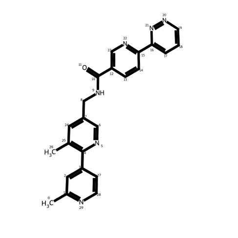 Cc1cc(-c2ncc(CNC(=O)c3ccc(-c4cccnn4)nc3)cc2C)ccn1